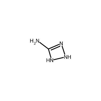 Nc1n[nH][nH]1